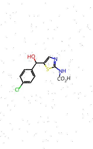 O=C(O)Nc1ncc(C(O)c2ccc(Cl)cc2)s1